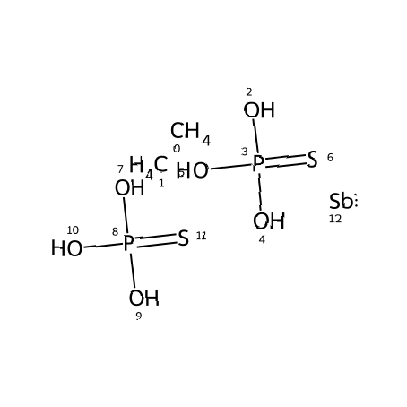 C.C.OP(O)(O)=S.OP(O)(O)=S.[Sb]